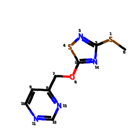 CSc1nsc(OCc2ccncn2)n1